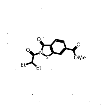 CCC(CC)C(=O)n1sc2cc(C(=O)OC)ccc2c1=O